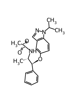 CC(C)n1ncc2cc(O[C@@H](c3ccccc3)[C@H](C)NS(C)(=O)=O)ccc21